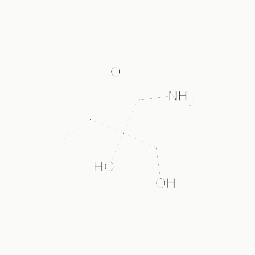 CCC(O)(CO)C(N)=O